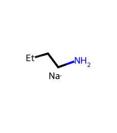 CCCCN.[Na]